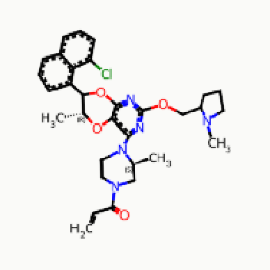 C=CC(=O)N1CCN(c2nc(OCC3CCCN3C)nc3c2O[C@H](C)C(c2cccc4cccc(Cl)c24)O3)[C@@H](C)C1